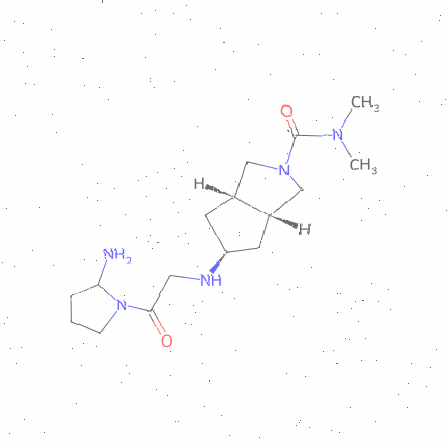 CN(C)C(=O)N1C[C@H]2C[C@H](NCC(=O)N3CCCC3N)C[C@H]2C1